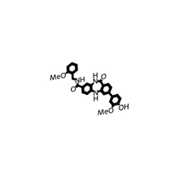 COc1cc(-c2ccc3c(c2)Nc2ccc(C(=O)NCc4ccccc4OC)cc2NC3=O)ccc1O